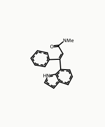 CNC(=O)C=C(c1ccccc1)c1cccc2cc[nH]c12